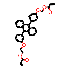 C=CC(=O)OCCOc1cccc(-c2c3ccccc3c(-c3ccc(OCOC(=O)C=C)cc3)c3ccccc23)c1